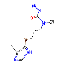 Cc1nc[nH]c1SCCCN(C#N)C(=O)N=N